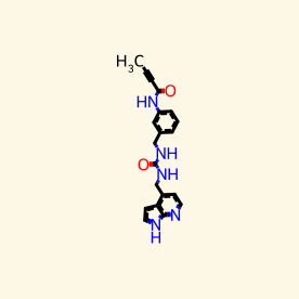 CC#CC(=O)Nc1cccc(CNC(=O)NCc2ccnc3[nH]ccc23)c1